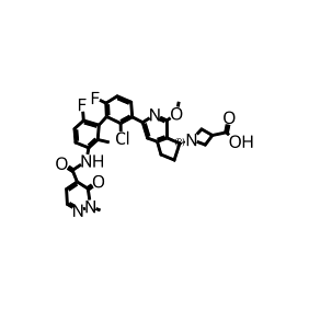 COc1nc(-c2ccc(F)c(-c3c(F)ccc(NC(=O)c4ccnn(C)c4=O)c3C)c2Cl)cc2c1[C@H](N1CC(C(=O)O)C1)CC2